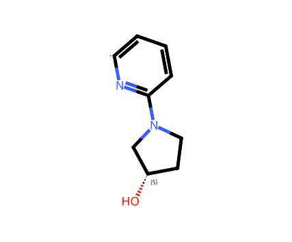 O[C@H]1CCN(c2ccc[c]n2)C1